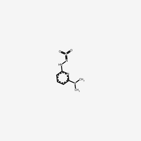 CN(C)c1cccc(NN=S(=O)=O)n1